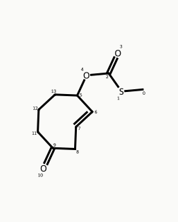 CSC(=O)OC1/C=C/CC(=O)CCC1